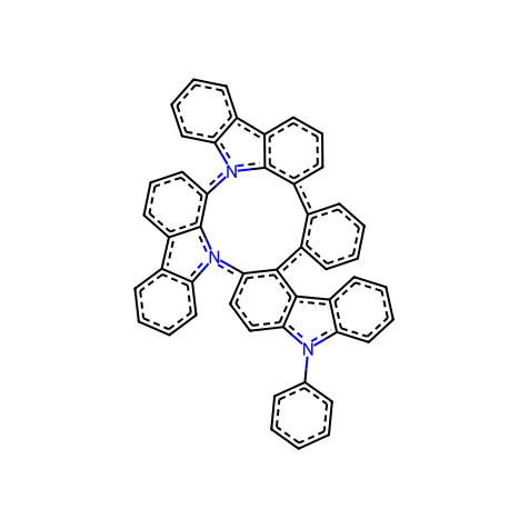 c1ccc(-n2c3ccccc3c3c4c5ccccc5c5cccc6c7ccccc7n(c7cccc8c9ccccc9n(c4ccc32)c87)c56)cc1